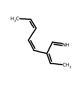 CC=C(C=N)/C=C\C=C/C